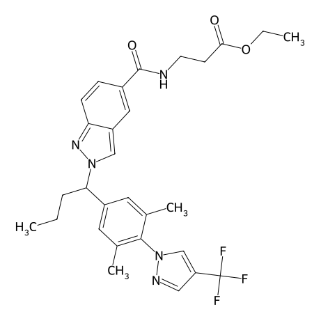 CCCC(c1cc(C)c(-n2cc(C(F)(F)F)cn2)c(C)c1)n1cc2cc(C(=O)NCCC(=O)OCC)ccc2n1